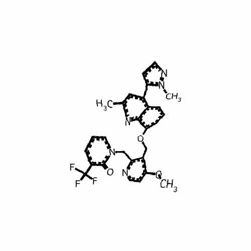 COc1ccnc(Cn2cccc(C(F)(F)F)c2=O)c1COc1cccc2c(-c3ccnn3C)cc(C)nc12